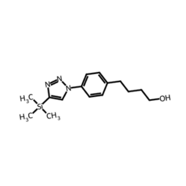 C[Si](C)(C)c1cn(-c2ccc(CCCCO)cc2)nn1